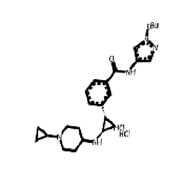 CC(C)(C)n1cc(NC(=O)c2cccc([C@@H]3C[C@H]3NC3CCN(C4CC4)CC3)c2)cn1.Cl.Cl